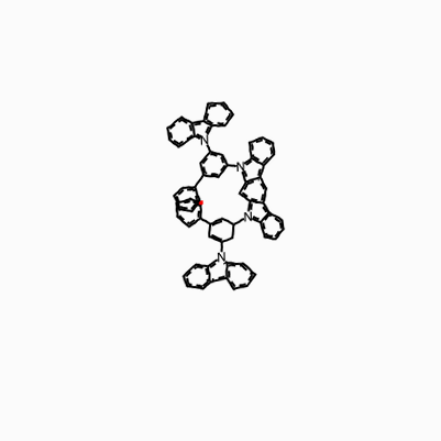 C1=C(c2ccccc2)C=C(n2c3ccccc3c3ccccc32)CC1n1c2ccccc2c2cc3c4ccccc4n(-c4cc(-c5ccccc5)cc(-n5c6ccccc6c6ccccc65)c4)c3cc21